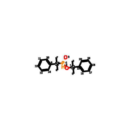 C[Si](C)(O[PH](=O)[Si](C)(C)c1ccccc1)c1ccccc1